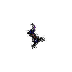 C/C=C\C=C(/I)c1ccc(N(c2ccc(-c3ccccc3)cc2)c2ccccc2-c2ccc(-c3ccc(N(c4ccc(-c5ccccc5)cc4)c4ccc(-c5ccccc5)cc4)c(C)c3)cc2)cc1